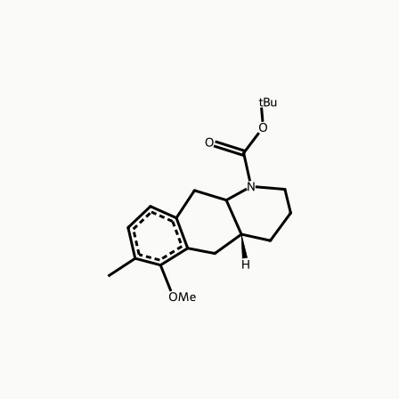 COc1c(C)ccc2c1C[C@H]1CCCN(C(=O)OC(C)(C)C)C1C2